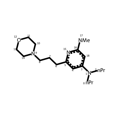 CCCN(CCC)c1cc(CCCN2CCOCC2)nc(NC)c1